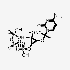 CC(C#N)(O[C@@H]1C(OP(=O)(O)OP(=O)(O)OP(=O)(O)O)[C@]1(C)O)n1ccc(N)nc1=O